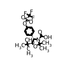 CC(C)(C)[C@@H]1OC(C)(C)N(C(=O)O)[C@H]1c1ccc(OS(=O)(=O)C(F)(F)F)cc1